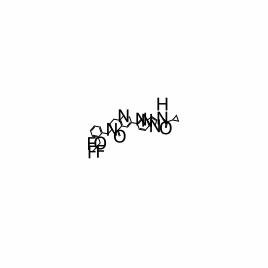 O=C(Nc1cn2nc(-c3cnc4c(c3)C(=O)N(Cc3ccccc3OC(F)(F)F)CC4)ccc2n1)C1CC1